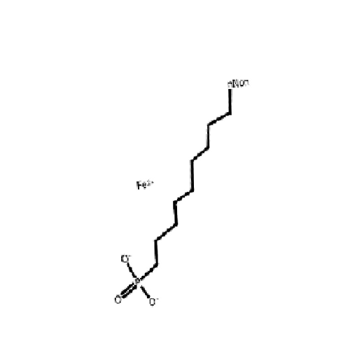 CCCCCCCCCCCCCCCCCCP(=O)([O-])[O-].[Fe+2]